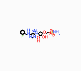 NS(=O)(=O)OCCO[C@@H]1C[C@H](n2nnc3c(NCc4ccccc4F)ncnc32)[C@@H](O)[C@H]1O